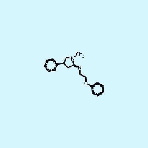 CN1CC(c2ccccc2)CC1=NCCOc1ccccc1